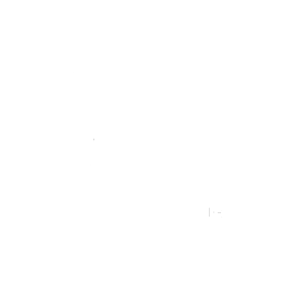 CCCCCCCCCCc1ccccc1OCC[O]